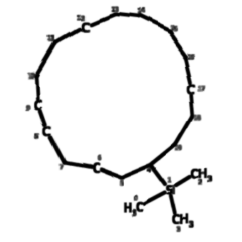 C[Si](C)(C)C1CCCCCCCCCCCCCCC1